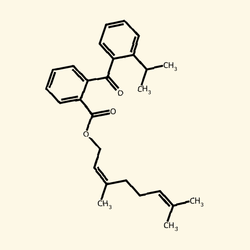 CC(C)=CCCC(C)=CCOC(=O)c1ccccc1C(=O)c1ccccc1C(C)C